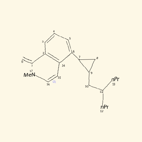 C=Cc1cccc(C2CC2CC(CCC)CCC)c1/C=C\NC